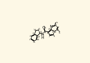 Cc1cc(C)n2ccc(C(=O)NC3CCc4ccccc43)c2n1